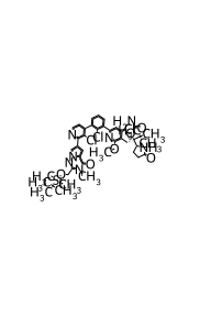 COc1nc(-c2cccc(-c3ccnc(-c4cc5c(=O)n(C)c(CO[Si](C)(C)C(C)(C)C)nn5c4)c3Cl)c2Cl)cc(Cl)c1C[C@@](OC(N)=O)(C1CCC(=O)N1)C(C)(C)C